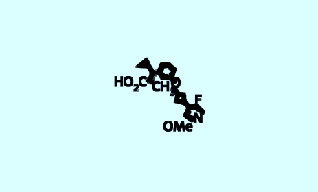 COc1cc(C2CC(COc3cccc([C@H](C4CC4)[C@H](C)C(=O)O)c3)C2)c(F)cn1